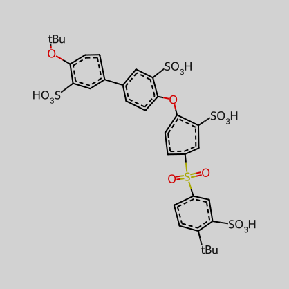 CC(C)(C)Oc1ccc(-c2ccc(Oc3ccc(S(=O)(=O)c4ccc(C(C)(C)C)c(S(=O)(=O)O)c4)cc3S(=O)(=O)O)c(S(=O)(=O)O)c2)cc1S(=O)(=O)O